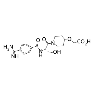 N=C(N)c1ccc(C(=O)N[C@@H](CO)C(=O)N2CCC(OCC(=O)O)CC2)cc1